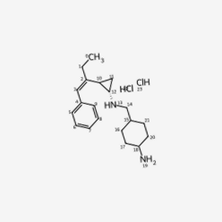 CCC(=Cc1ccccc1)C1C[C@@H]1NCC1CCC(N)CC1.Cl.Cl